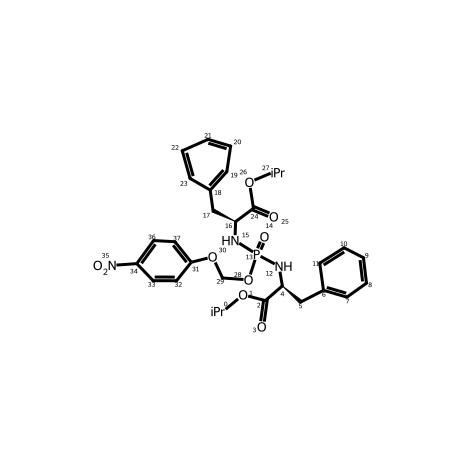 CC(C)OC(=O)[C@H](Cc1ccccc1)NP(=O)(N[C@@H](Cc1ccccc1)C(=O)OC(C)C)OCOc1ccc([N+](=O)[O-])cc1